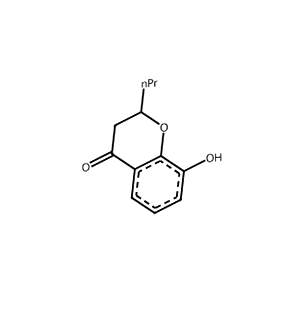 CCCC1CC(=O)c2cccc(O)c2O1